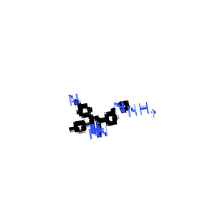 Cc1ccc(-c2c(-c3ccc(C#N)cc3)cc(-c3cccc(CN4CCC(N)C4)c3)c3ncnn23)cc1